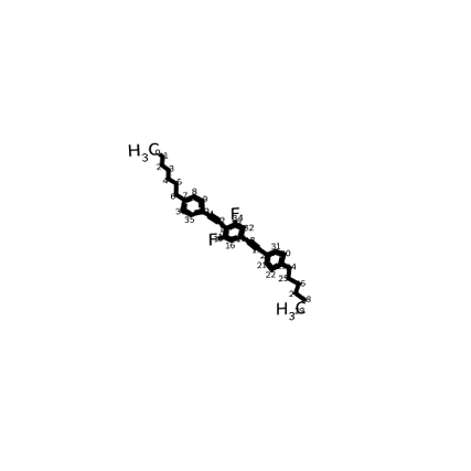 CCCCCCCc1ccc(C#Cc2c(F)cc(C#Cc3ccc(CCCCCC)cc3)cc2F)cc1